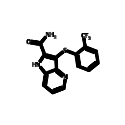 NC(=O)c1[nH]c2cccnc2c1Sc1ccccc1C(F)(F)F